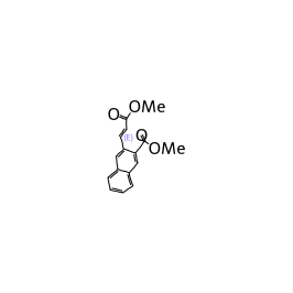 COC(=O)/C=C/c1cc2ccccc2cc1C(=O)OC